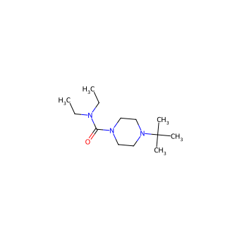 CCN(CC)C(=O)N1CCN(C(C)(C)C)CC1